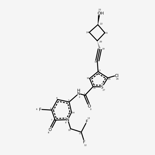 O=C(Nc1cc(F)c(=O)n(CC(F)F)c1)c1cc(C#C[C@H]2C[C@H](O)C2)c(Cl)s1